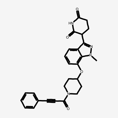 Cn1nc(C2CCC(=O)NC2=O)c2cccc(OC3CCN(C(=O)C#Cc4ccccc4)CC3)c21